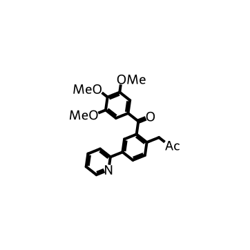 COc1cc(C(=O)c2cc(-c3ccccn3)ccc2CC(C)=O)cc(OC)c1OC